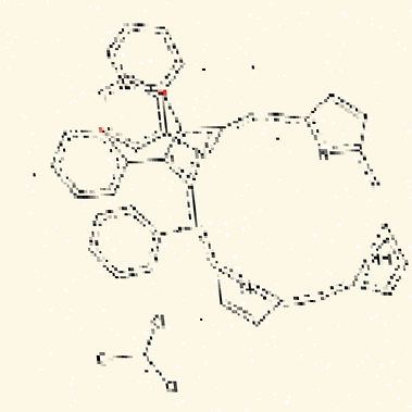 C1=Cc2cc3c(-c4ccccc4)c(-c4ccccc4)c(c(-c4ccccc4)c4nc(cc5ccc(cc1n2)[nH]5)C=C4)n3-c1ccccc1.ClC(Cl)Cl